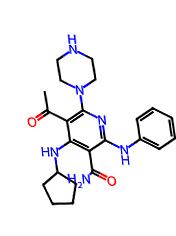 CC(=O)c1c(N2CCNCC2)nc(Nc2ccccc2)c(C(N)=O)c1NC1CCCC1